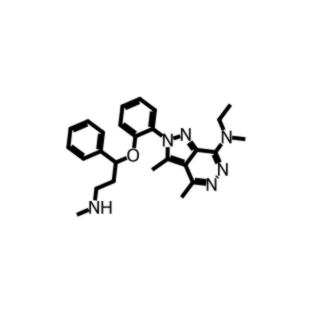 CCN(C)c1nnc(C)c2c(C)n(-c3ccccc3OC(CCNC)c3ccccc3)nc12